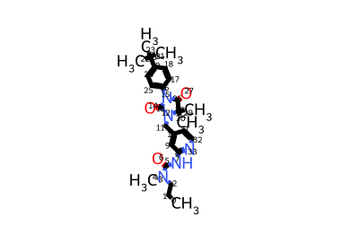 CCCN(C)C(=O)Nc1cc(CN2C(=O)N(c3ccc(C(C)(C)C)cc3)C(=O)C2(C)C)ccn1